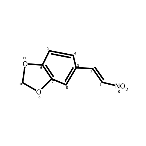 O=[N+]([O-])C=Cc1ccc2c(c1)OCO2